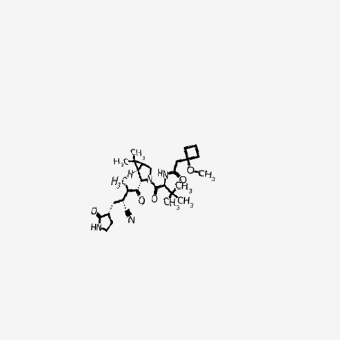 COC1(CC(=O)N[C@H](C(=O)N2CC3[C@@H]([C@H]2C(=O)C(C)[C@H](C#N)C[C@@H]2CCNC2=O)C3(C)C)C(C)(C)C)CCC1